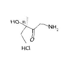 CC[C@@](C)(O)C(=O)CN.Cl